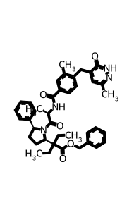 CCC(CC)(C(=O)OCc1ccccc1)[C@H]1CC[C@@H](c2ccccc2)N1C(=O)[C@@H](C)NC(=O)c1ccc(Cc2cc(C)n[nH]c2=O)c(C)c1